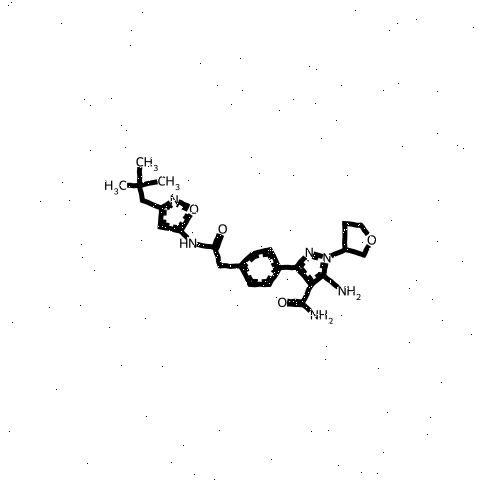 CC(C)(C)Cc1cc(NC(=O)Cc2ccc(-c3nn(C4CCOC4)c(N)c3C(N)=O)cc2)on1